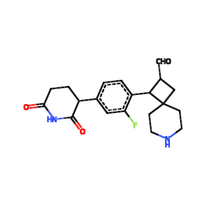 O=CC1CC2(CCNCC2)C1c1ccc(C2CCC(=O)NC2=O)cc1F